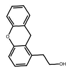 OCCc1cccc2c1Cc1ccccc1O2